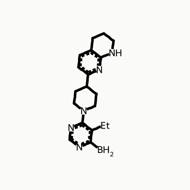 Bc1ncnc(N2CCC(c3ccc4c(n3)NCCC4)CC2)c1CC